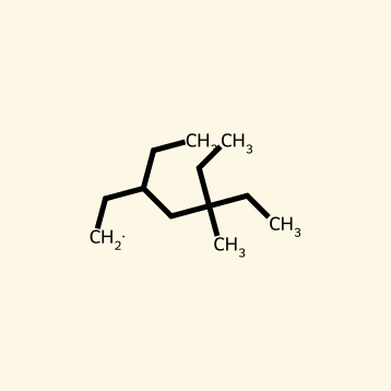 [CH2]CC(CC)CC(C)(CC)CC